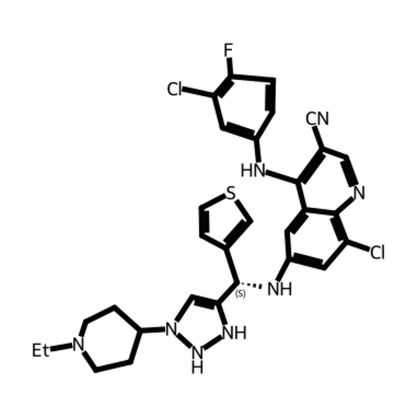 CCN1CCC(N2C=C([C@@H](Nc3cc(Cl)c4ncc(C#N)c(Nc5ccc(F)c(Cl)c5)c4c3)c3ccsc3)NN2)CC1